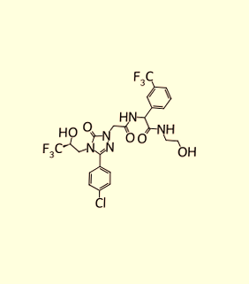 O=C(Cn1nc(-c2ccc(Cl)cc2)n(C[C@H](O)C(F)(F)F)c1=O)NC(C(=O)NCCO)c1cccc(C(F)(F)F)c1